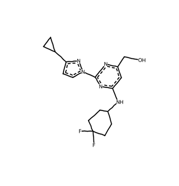 OCc1cc(NC2CCC(F)(F)CC2)nc(-n2ccc(C3CC3)n2)n1